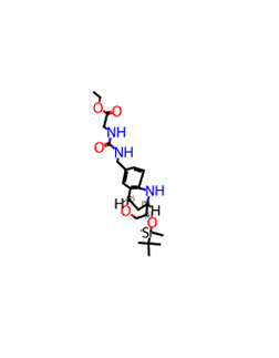 CCOC(=O)CNC(=O)NCc1ccc2c(c1)[C@H]1C[C@H](N2)[C@H](O[Si](C)(C)C(C)(C)C)CO1